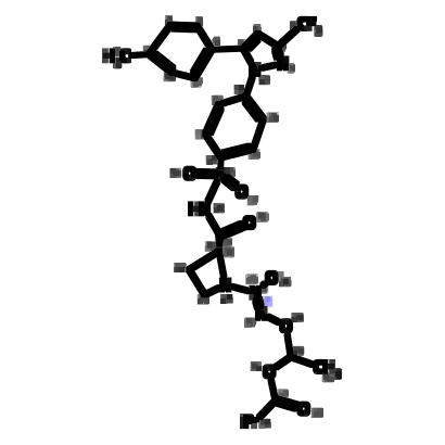 Cc1ccc(-c2cc(C(F)(F)F)nn2-c2ccc(S(=O)(=O)NC(=O)[C@@H]3CCN3/[N+]([O-])=N/OC(C)OC(=O)C(C)C)cc2)cc1